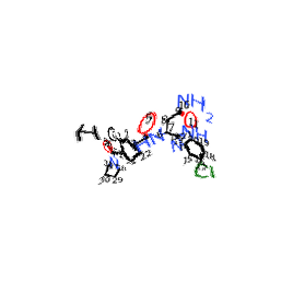 Cc1cc(C(=O)N[C@@H](CC(N)=O)c2nc3cc(Cl)ccc3[nH]2)ccc1C(=O)N1CCCC1